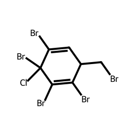 ClC1(Br)C(Br)=CC(CBr)C(Br)=C1Br